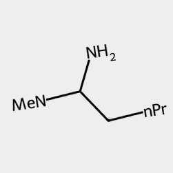 CCCCC(N)NC